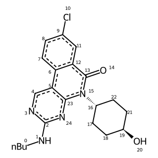 CCCCNc1ncc2c3ccc(Cl)cc3c(=O)n([C@H]3CC[C@H](O)CC3)c2n1